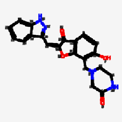 O=C1CN(Cc2c(O)ccc3c2OC(=Cc2n[nH]c4ccccc24)C3=O)CCN1